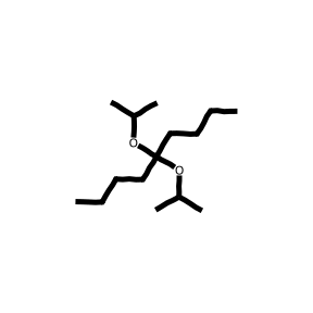 CCCCC(CCCC)(OC(C)C)OC(C)C